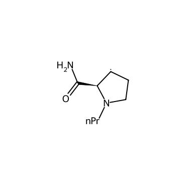 CCCN1CC[CH][C@@H]1C(N)=O